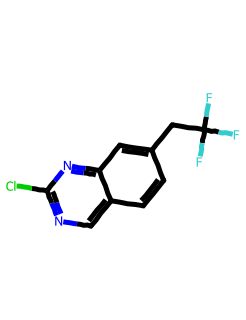 FC(F)(F)Cc1ccc2cnc(Cl)nc2c1